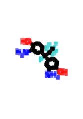 Nc1cc(C(F)(c2ccc(O)c(N)c2)C(F)(F)C(F)(F)F)ccc1O